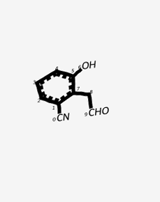 N#Cc1cccc(O)c1CC=O